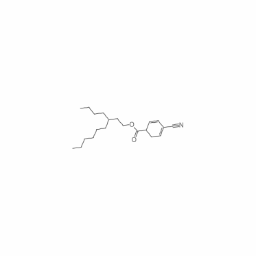 CCCCCCC(CCCC)CCOC(=O)C1C=CC(C#N)=CC1